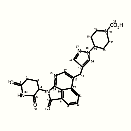 O=C1CCC(N2C(=O)c3cccc4c(Cc5cnn(C6CCN(C(=O)O)CC6)c5)cnc2c34)C(=O)N1